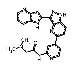 CN(C)CC(=O)Nc1cc(-c2ccc3[nH]nc(-c4cc5ncccc5[nH]4)c3n2)ccn1